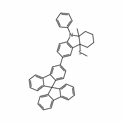 CSC12CCCCC1(C)N(c1ccccc1)c1ccc(-c3ccc4c(c3)-c3ccccc3C43c4ccccc4-c4ccccc43)cc12